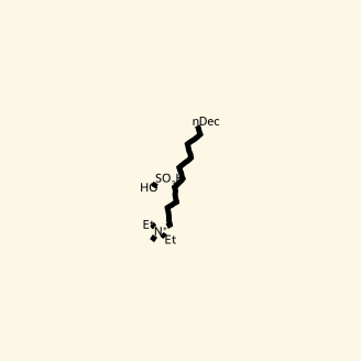 CCCCCCCCCCCCCCCCCCC[N+](C)(CC)CC.O=S(=O)(O)O